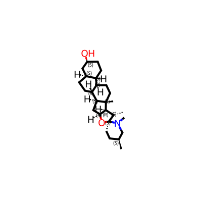 C[C@H]1CC[C@@]2(O[C@H]3C[C@H]4[C@@H]5CC[C@H]6C[C@@H](O)CC[C@@H]6[C@H]5CC[C@]4(C)[C@H]3[C@@H]2C)N(C)C1